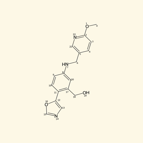 COc1ccc(CNc2ccc(-c3cnco3)c(CO)c2)cn1